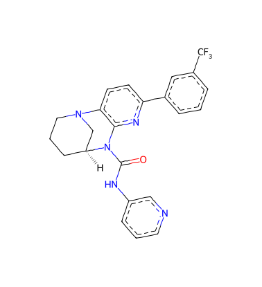 O=C(Nc1cccnc1)N1c2nc(-c3cccc(C(F)(F)F)c3)ccc2N2CCC[C@H]1C2